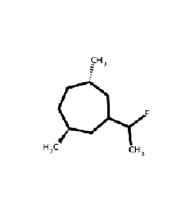 CC(F)C1C[C@@H](C)CC[C@H](C)C1